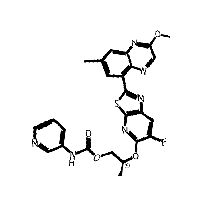 COc1cnc2c(-c3nc4cc(F)c(O[C@@H](C)COC(=O)Nc5cccnc5)nc4s3)cc(C)cc2n1